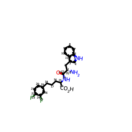 N[C@@H](Cc1c[nH]c2ccccc12)C(=O)NC(CCCc1ccc(F)c(F)c1)C(=O)O